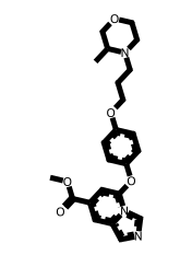 COC(=O)c1cc(Oc2ccc(OCCCN3CCOCC3C)cc2)n2cncc2c1